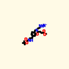 COC(=O)CCC(=O)N(CCN=[N+]=[N-])Cc1ccc(CCNC(=O)OC(C)(C)C)cc1